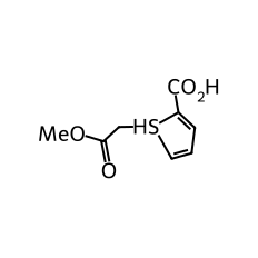 COC(=O)C[SH]1C=CC=C1C(=O)O